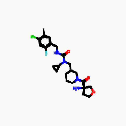 Cc1cc(CNC(=O)N(C[C@@H]2CCCN(C(=O)C3(N)CCOC3)C2)C2CC2)c(F)cc1Cl